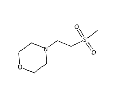 CS(=O)(=O)CCN1CCOCC1